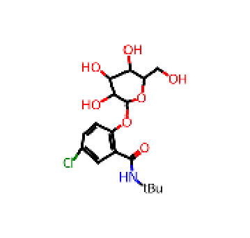 CC(C)(C)NC(=O)c1cc(Cl)ccc1OC1OC(CO)C(O)C(O)C1O